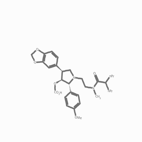 CCCC(CCC)C(=O)N(C)CCN1C[C@H](c2ccc3c(c2)OCO3)[C@H](OC(=O)O)[C@H]1c1ccc(OC)cc1